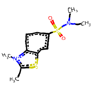 Cc1sc2cc(S(=O)(=O)N(C)C)ccc2[n+]1C